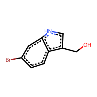 OCc1c[nH]c2cc(Br)ccc12